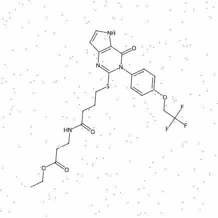 CCOC(=O)CCNC(=O)CCCSc1nc2cc[nH]c2c(=O)n1-c1ccc(OCC(F)(F)F)cc1